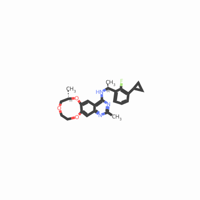 Cc1nc(N[C@H](C)c2cccc(C3CC3)c2F)c2cc3c(cc2n1)OCCOC[C@H](C)O3